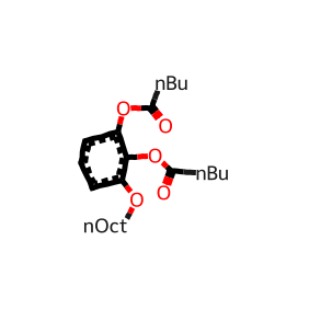 CCCCCCCCOc1cccc(OC(=O)CCCC)c1OC(=O)CCCC